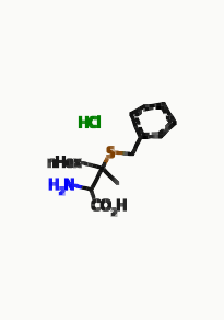 CCCCCCC(C)(SCc1ccccc1)C(N)C(=O)O.Cl